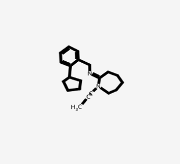 CCCN1CCCCCC1=NCc1ccccc1C1CCCC1